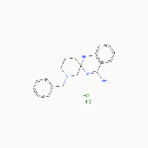 Cl.Cl.NC1=NC2(CCCN(Cc3ccccc3)C2)Nc2ccccc21